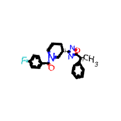 C[C@@H](c1ccccc1)c1nc([C@H]2CCCN(C(=O)c3ccc(F)cc3)C2)no1